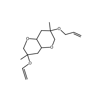 C=CCOC1(C)COC2CC(C)(OC=C)COC2C1